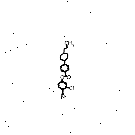 C=CCC1CCC(c2ccc(C(=O)Oc3ccc(C#N)c(Cl)c3)cc2)CC1